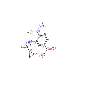 CC(Nc1cc(C(=O)O)ccc1C(N)=O)C1CC1